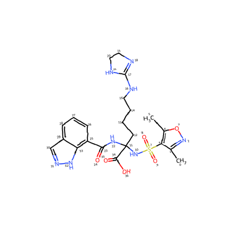 Cc1noc(C)c1S(=O)(=O)NC(CCCCNC1=NCCN1)(NC(=O)c1cccc2cn[nH]c12)C(=O)O